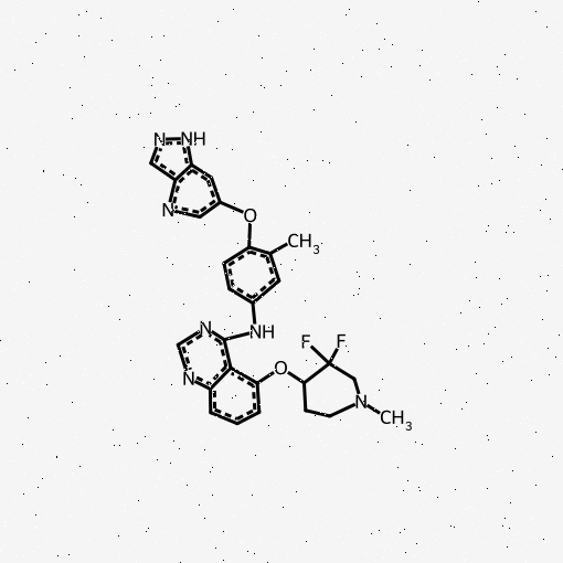 Cc1cc(Nc2ncnc3cccc(OC4CCN(C)CC4(F)F)c23)ccc1Oc1cnc2cn[nH]c2c1